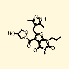 CCCn1c(=O)n(C)c(=O)c2c(C(=O)N3CC(O)CO3)c(Cc3c(C)n[nH]c3C)sc21